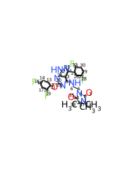 CN1C(=O)N(CCNc2nc(Oc3ccc(F)cc3F)nc3[nH]nc(-c4cc(F)ccc4F)c23)C(=O)C1(C)C